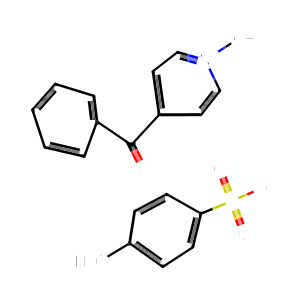 C[n+]1ccc(C(=O)c2ccccc2)cc1.Cc1ccc(S(=O)(=O)[O-])cc1